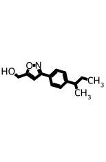 CCC(C)c1ccc(-c2cc(CO)on2)cc1